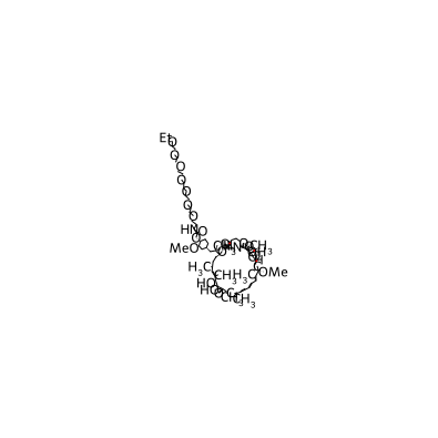 CCOCCOCCOCCOCCOCCOCCOCCNC(=O)O[C@@H]1CC[C@@H](C[C@@H](C)[C@@H]2CC[C@H](C)/C=C(\C)C(O)[C@@H](O)C(=O)C(C)C[C@H](C)/C=C/C=C/C=C(\C)[C@@H](OC)C[C@@H]3CC[C@@H](C)[C@@](O)(O3)C(=O)C(=O)N3CCCC[C@H]3C(=O)O2)C[C@H]1OC